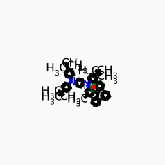 Cc1cc(N(c2ccc(N(c3ccc(C(C)(C)C)cc3)c3ccc(C(C)(C)C)cc3)cc2)c2ccc(C(C)(C)C)cc2)c(Cl)c([Si](c2ccccc2)(c2ccccc2)c2ccccc2)c1